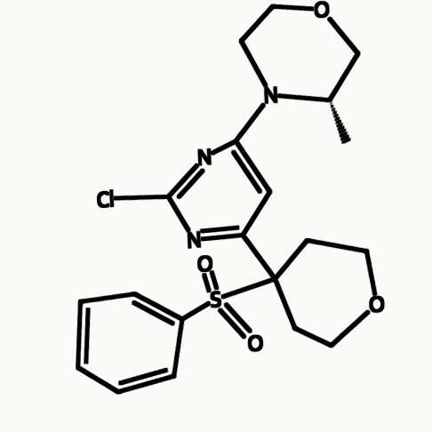 C[C@H]1COCCN1c1cc(C2(S(=O)(=O)c3ccccc3)CCOCC2)nc(Cl)n1